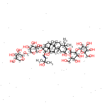 CC(C)(O)/C=C/CC(C)(O[C@@H]1O[C@H](CO[C@@H]2OC[C@@H](O)[C@H](O)[C@H]2O)[C@@H](O)[C@H](O)[C@H]1O)[C@H]1CC[C@]2(C)[C@@H]1[C@H](O)CC1[C@@]3(C)C[C@@H](O)[C@H](O[C@@H]4O[C@H](CO)[C@@H](O)[C@H](O)[C@H]4O[C@@H]4O[C@H](CO)[C@@H](O)[C@H](O)[C@H]4O)C(C)(C)C3CC[C@]12C